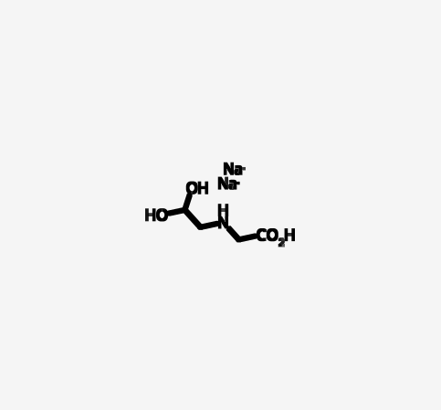 O=C(O)CNCC(O)O.[Na].[Na]